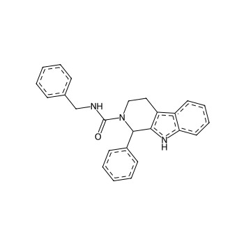 O=C(NCc1ccccc1)N1CCc2c([nH]c3ccccc23)C1c1ccccc1